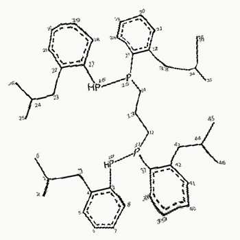 CC(C)Cc1ccccc1PP(CCCP(Pc1ccccc1CC(C)C)c1ccccc1CC(C)C)c1ccccc1CC(C)C